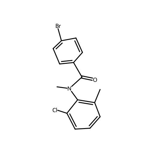 Cc1cccc(Cl)c1N(C)C(=O)c1ccc(Br)cc1